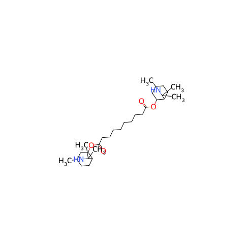 CC12CCC(C(OC(=O)CCCCCCCCC(=O)OC3CC4(C)CCC3C(C)(C)N4)C1)C(C)(C)N2